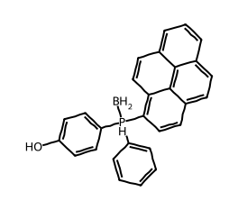 B[PH](c1ccccc1)(c1ccc(O)cc1)c1ccc2ccc3cccc4ccc1c2c34